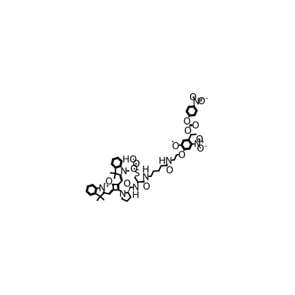 COc1cc(C(C)OC(=O)Oc2ccc([N+](=O)[O-])cc2)c([N+](=O)[O-])cc1OCCNC(=O)CCCCNC(=O)C(CSOOO)NC(=O)[C@H]1CCCN1C1=C(/C=C2/N(C)c3ccccc3C2(C)C)C(=O)/C1=C\C1=[N+](C)c2ccccc2C1(C)C